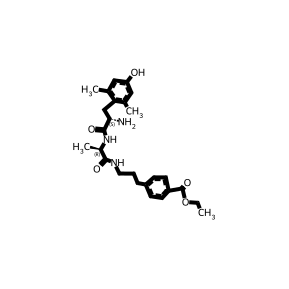 CCOC(=O)c1ccc(CCCNC(=O)[C@@H](C)NC(=O)[C@@H](N)Cc2c(C)cc(O)cc2C)cc1